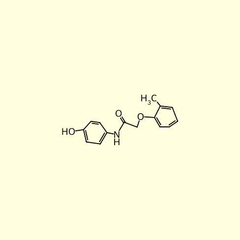 Cc1ccccc1OCC(=O)Nc1ccc(O)cc1